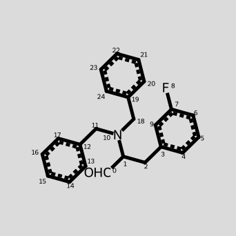 O=CC(Cc1cccc(F)c1)N(Cc1ccccc1)Cc1ccccc1